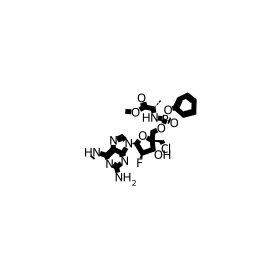 CNc1nc(N)nc2c1ncn2[C@@H]1O[C@](CCl)(COP(=O)(N[C@@H](C)C(=O)OC)Oc2ccccc2)[C@@H](O)[C@H]1F